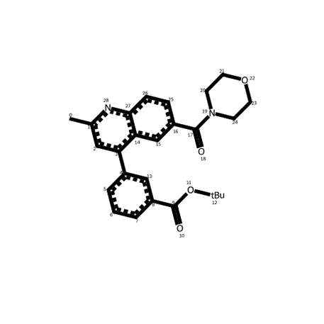 Cc1cc(-c2cccc(C(=O)OC(C)(C)C)c2)c2cc(C(=O)N3CCOCC3)ccc2n1